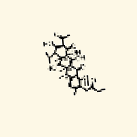 CCC(=O)Cc1c(C)cc2c(c1O)C(=O)C1=C(O)[C@@]3(O)C(=O)C(C(C)=O)=C(O)C(C(C)C)[C@@]3(C)[C@H](O)[C@@]1(C)[C@@H]2C